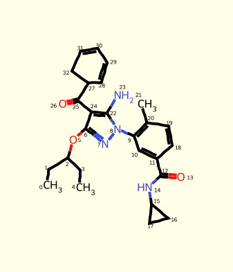 CCC(CC)Oc1nn(-c2cc(C(=O)NC3CC3)ccc2C)c(N)c1C(=O)C1C=CC=CC1